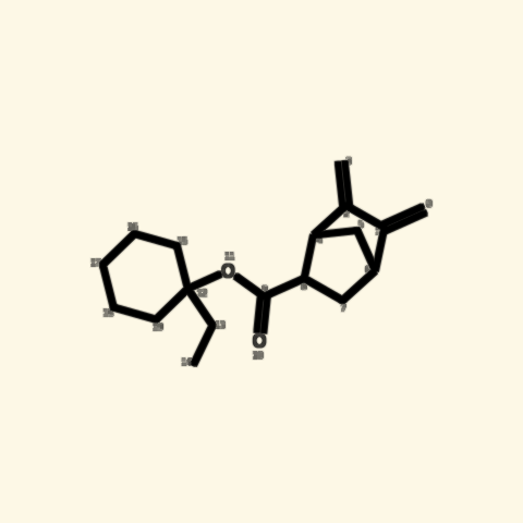 C=C1C(=C)C2CC1CC2C(=O)OC1(CC)CCCCC1